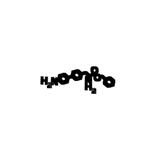 Nc1ccc(-c2ccc(C[C@H](N)C(=O)OCc3ccccc3)cc2)cc1